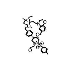 CCO[C@H](C)COCc1ccc([C@H]2C[C@@H](CC=O)N(S(=O)(=O)c3ccc(C)cc3)C[C@@H]2OCc2ccc3c(c2)N(CCCOC)CCO3)cc1